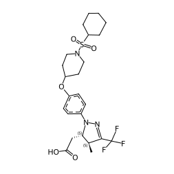 C[C@@H]1C(C(F)(F)F)=NN(c2ccc(OC3CCN(S(=O)(=O)C4CCCCC4)CC3)cc2)[C@H]1CC(=O)O